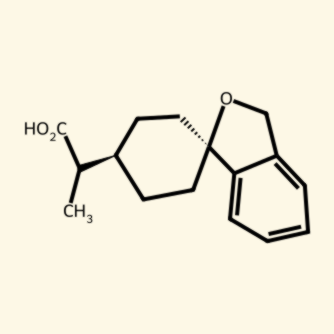 CC(C(=O)O)[C@H]1CC[C@]2(CC1)OCc1ccccc12